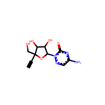 C#CC1(CO)OC(n2ncc(N)nc2=O)C(O)C1O